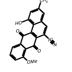 COc1cccc2c1C(=O)c1c([N+]#N)cc3cc(C)cc(O)c3c1C2=O